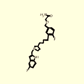 NC(=O)COCc1ccc(F)c(CCCCC2CCN(Cc3cc4cc(F)ccc4[nH]3)C2)c1